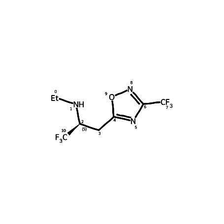 CCN[C@@H](Cc1nc(C(F)(F)F)no1)C(F)(F)F